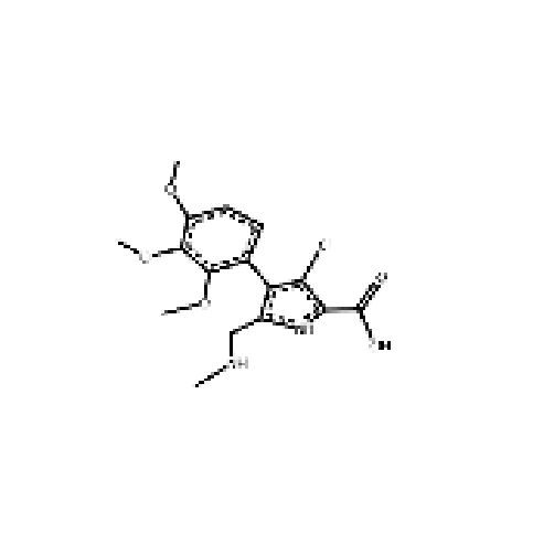 CNCc1[nH]c(C(=O)O)c(Cl)c1-c1ccc(OC)c(OC)c1OC